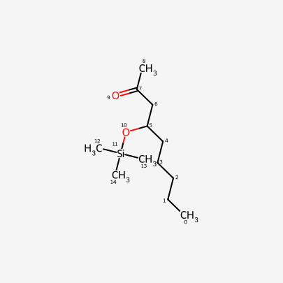 CCCCCC(CC(C)=O)O[Si](C)(C)C